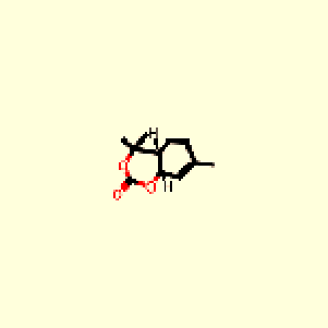 CC1=C[C@@H]2OC(=O)OC(C)(C)[C@@H]2CC1